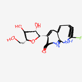 O=c1nc2[nH]c(F)ccc-2cc1[C@@H]1O[C@H](CO)C(O)[C@@H]1O